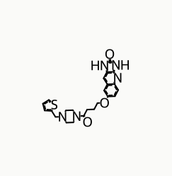 O=C(CCCOc1ccc2nc3[nH]c(=O)[nH]c3cc2c1)N1CCN(Cc2cccs2)CC1